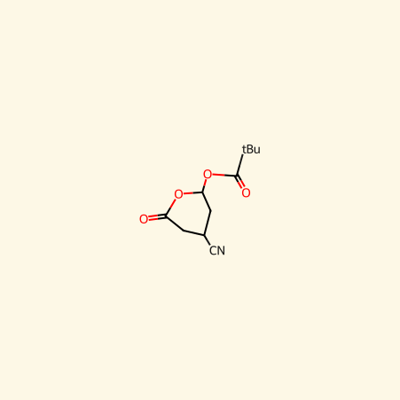 CC(C)(C)C(=O)OC1CC(C#N)CC(=O)O1